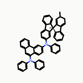 CC1C=C2C(=CC1)c1ccccc1[C@@]21c2ccccc2-c2ccc(N(c3ccccc3)c3ccc4c(N(c5ccccc5)c5ccccc5)cc5ccccc5c4c3)cc21